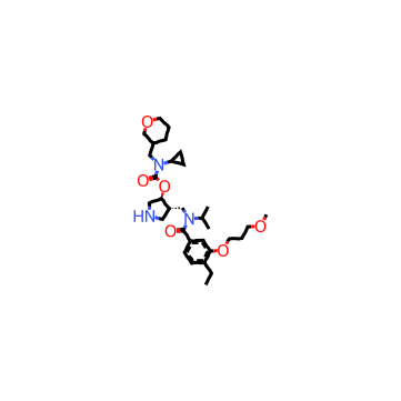 CCc1ccc(C(=O)N(C[C@@H]2CNC[C@H]2OC(=O)N(CC2CCCOC2)C2CC2)C(C)C)cc1OCCCOC